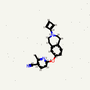 Cc1nc(Oc2ccc3c(c2)CCN(C2=CC=C2)CC3)ccc1C#N